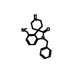 N#Cc1cccc2c1C1(CCNCC1)C(=O)N2Cc1ccccc1